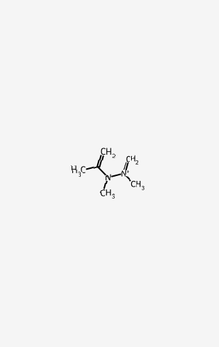 C=C(C)N(C)[N+](=C)C